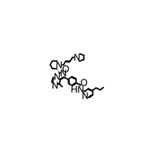 CCCc1ccnc(NC(=O)c2ccc(-c3nc([C@@H]4CCCCN4C(=O)C=CCN4CCCC4)n4ccnc(C)c34)cc2)c1